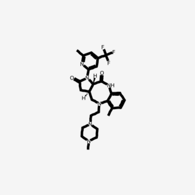 Cc1cc(C(F)(F)F)cc(N2C(=O)C[C@@H]3CN(CCN4CCN(C)CC4)c4c(C)cccc4NC(=O)[C@H]32)n1